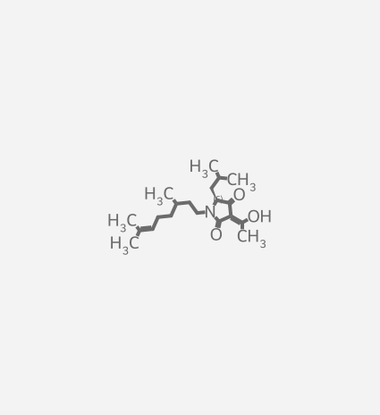 CC(C)=CCCC(C)CCN1C(=O)C(=C(C)O)C(=O)[C@@H]1CC(C)C